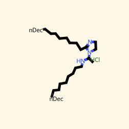 CCCCCCCCCCCCCCCCCCNC(C)N1CCN=C1CCCCCCCCCCCCCCCCCC.Cl